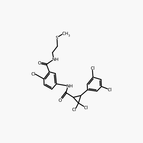 CSCCNC(=O)c1cc(NC(=O)C2C(c3cc(Cl)cc(Cl)c3)C2(Cl)Cl)ccc1Cl